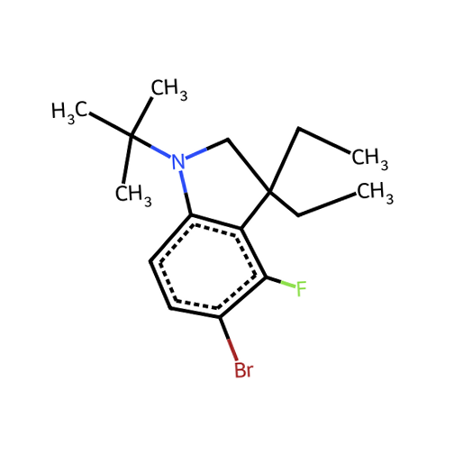 CCC1(CC)CN(C(C)(C)C)c2ccc(Br)c(F)c21